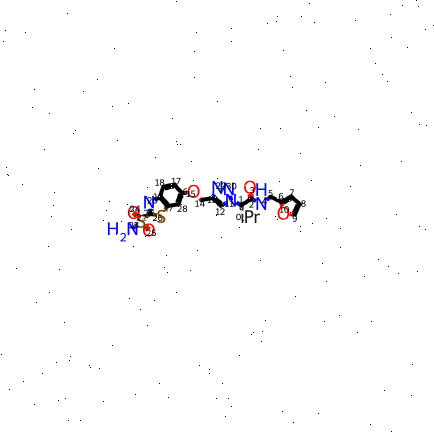 CC(C)C(C(=O)NCc1ccco1)n1cc(COc2ccc3nc(S(N)(=O)=O)sc3c2)nn1